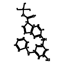 CC(C)(C)OC(=O)n1ncc2cc(Nc3cc(Oc4ccccc4)nc(Cl)n3)ccc21